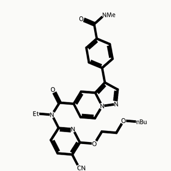 CCCCOCCOc1nc(N(CC)C(=O)c2ccn3ncc(-c4ccc(C(=O)NC)cc4)c3c2)ccc1C#N